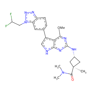 COc1nc(N[C@H]2C[C@](C)(C(=O)N(C)C)C2)nc2[nH]cc(-c3ccc4nnn(CC(F)F)c4c3)c12